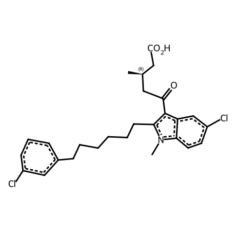 C[C@@H](CC(=O)O)CC(=O)c1c(CCCCCCc2cccc(Cl)c2)n(C)c2ccc(Cl)cc12